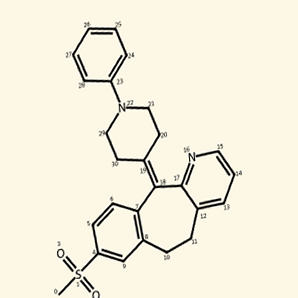 CS(=O)(=O)c1ccc2c(c1)CCc1cccnc1C2=C1CCN(c2ccccc2)CC1